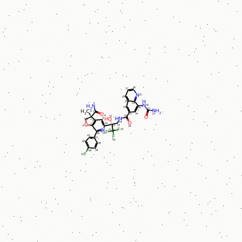 C[C@]1(C(N)=O)COc2c1cc([C@@](O)(CNC(=O)c1cc(NC(N)=O)c3ncccc3c1)C(F)(F)F)nc2-c1ccc(F)cc1